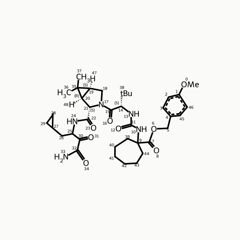 COc1ccc(COC(=O)C2(NC(=O)N[C@H](C(=O)N3C[C@H]4[C@@H]([C@H]3C(=O)NC(CC3CC3)C(=O)C(N)=O)C4(C)C)C(C)(C)C)CCCCCC2)cc1